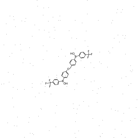 OB(c1ccc(COc2ccc(B(O)c3ccc(C(F)(F)F)cc3)cc2)cc1)c1ccc(C(F)(F)F)cc1